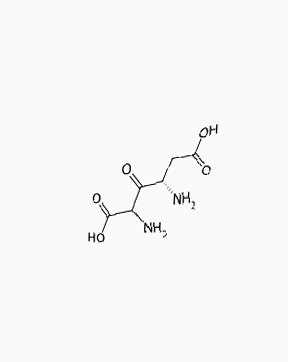 NC(C(=O)O)C(=O)[C@@H](N)CC(=O)O